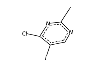 Cc1ncc(I)c(Cl)n1